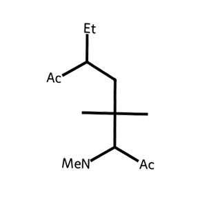 CCC(CC(C)(C)C(NC)C(C)=O)C(C)=O